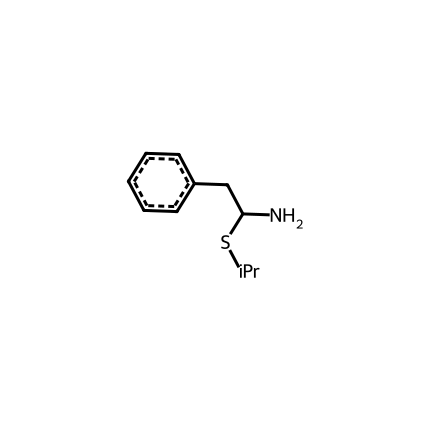 CC(C)SC(N)Cc1ccccc1